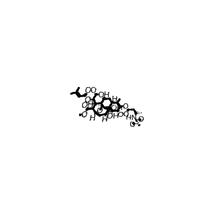 COC(=O)C1[C@@H]2[C@@H](OC(=O)C=C(C)C)C(=O)O[C@@H]3C[C@H]4C(C)=C(OC(=O)C[C@H](C)NS(C)(=O)=O)C(=O)C[C@]4(C)C4[C@@H](O)[C@H](O)C[C@H]1OC[C@@]423